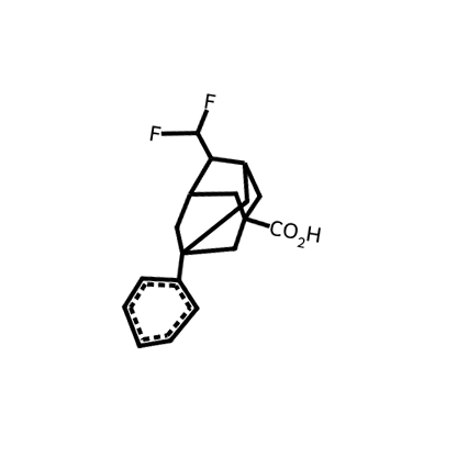 O=C(O)C12CC3CC(c4ccccc4)(CC(C1)C3C(F)F)C2